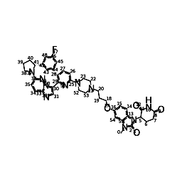 Cn1c(=O)n(C2CCC(=O)NC2=O)c2ccc(OCCCN3CCN(c4cccc(-c5cnc6ccc(N7CCC[C@@H]7c7cccc(F)c7)nn56)n4)CC3)cc21